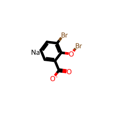 O=C([O-])c1cccc(Br)c1OBr.[Na+]